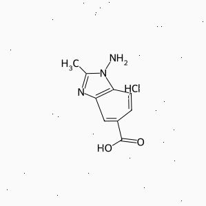 Cc1nc2cc(C(=O)O)ccc2n1N.Cl